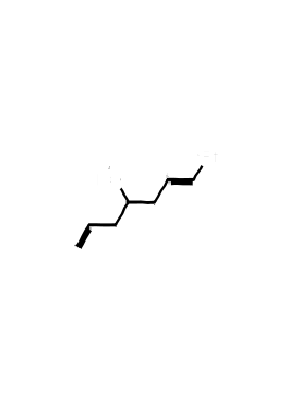 C=CCC(O)CC=CCC